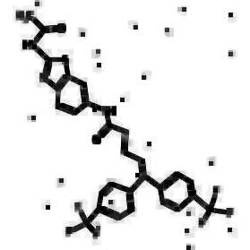 CC(=O)Nc1nc2ccc(NC(=O)/C=C/C=C(c3ccc(C(F)(F)F)cc3)c3ccc(C(F)(F)F)cc3)cc2s1